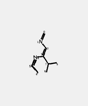 C=N/C=C(\N=C/C)C(C)C